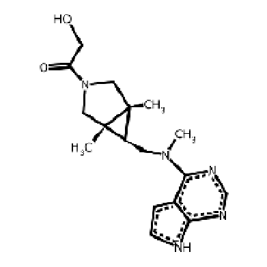 CN(C[C@H]1[C@]2(C)CN(C(=O)CO)C[C@]12C)c1ncnc2[nH]ccc12